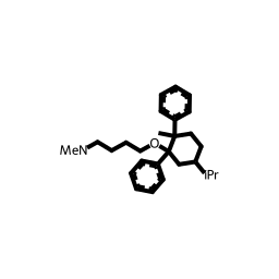 CNCCCCOC1(c2ccccc2)CC(C(C)C)CCC1(C)c1ccccc1